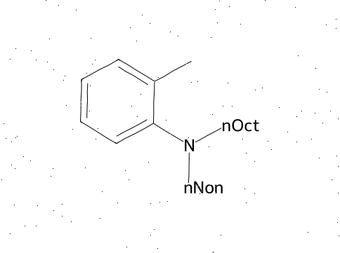 CCCCCCCCCN(CCCCCCCC)c1ccccc1C